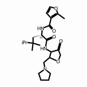 Cc1occc1C(=O)N[C@@H](CC(C)(C)C(C)C)C(=O)NC1C(=O)COC1CN1CCCC1